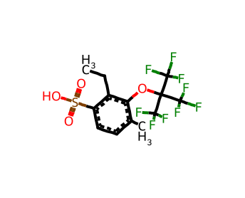 CCc1c(S(=O)(=O)O)ccc(C)c1OC(C(F)(F)F)(C(F)(F)F)C(F)(F)F